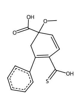 COC1(C(=O)O)C=CC(C(O)=S)=C(c2ccccc2)C1